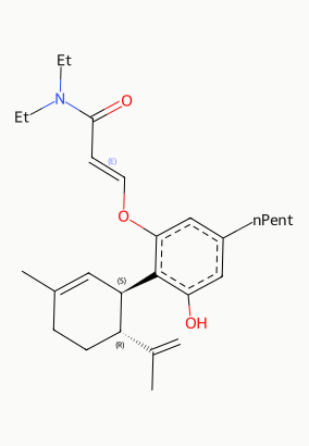 C=C(C)[C@@H]1CCC(C)=C[C@H]1c1c(O)cc(CCCCC)cc1O/C=C/C(=O)N(CC)CC